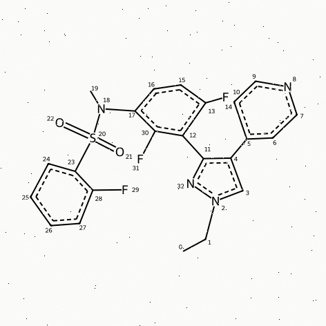 CCn1cc(-c2ccncc2)c(-c2c(F)ccc(N(C)S(=O)(=O)c3ccccc3F)c2F)n1